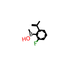 C=C(C)c1cccc(F)c1B(C)O